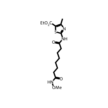 CCOC(=O)c1sc(NC(=O)CCCCCCC(=O)NOC)nc1C